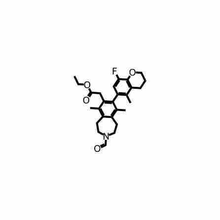 CCOC(=O)Cc1c(C)c2c(c(C)c1-c1cc(F)c3c(c1C)CCCO3)CCN(C=O)CC2